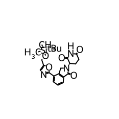 CC(C)(C)[Si](C)(C)OCc1cnc(-c2cccc3c2CN(C2CCC(=O)NC2=O)C3=O)o1